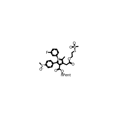 CCCCCOC(=O)c1c(CC(=O)OCCSS(C)(=O)=O)c(C)n(-c2cccc(F)c2)c1-c1ccc([S+](C)[O-])cc1